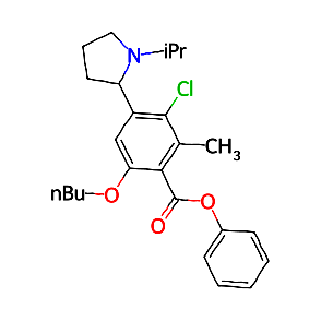 CCCCOc1cc(C2CCCN2C(C)C)c(Cl)c(C)c1C(=O)Oc1ccccc1